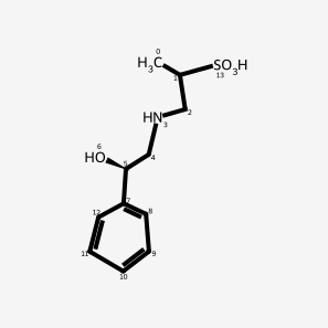 CC(CNC[C@H](O)c1ccccc1)S(=O)(=O)O